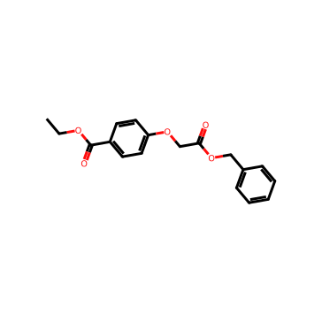 CCOC(=O)c1ccc(OCC(=O)OCc2ccccc2)cc1